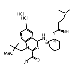 COC(C)(C)CN1C(C(N)=O)=NC(N[C@H]2CCCC[C@H]2NC(=N)CCN(C)C)c2cc(C)ccc21.Cl.Cl